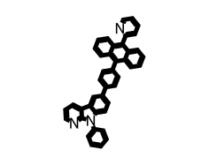 c1ccc(-n2c3ccc(-c4ccc(-c5c6ccccc6c(-c6ccccn6)c6ccccc56)cc4)cc3c3cccnc32)cc1